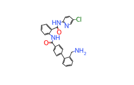 NCc1ccccc1-c1ccc(C(=O)Nc2ccccc2C(=O)Nc2ccc(Cl)cn2)cc1